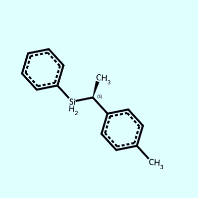 Cc1ccc([C@H](C)[SiH2]c2ccccc2)cc1